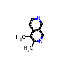 Cc1ncc2cnccc2c1C